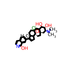 CN(C)[C@H]1C[C@@]23CC[C@]4(O2)C2CC=C(c5ccc6ccnc(O)c6c5)[C@@]2(C)CCC4(Cl)C=C3[C@@H](O)[C@@H]1O